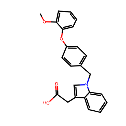 COc1ccccc1Oc1ccc(Cn2cc(CC(=O)O)c3ccccc32)cc1